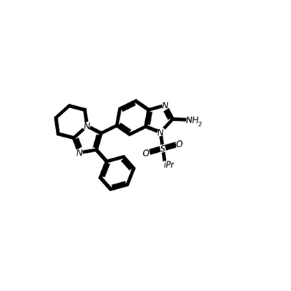 CC(C)S(=O)(=O)n1c(N)nc2ccc(-c3c(-c4ccccc4)nc4n3CCCC4)cc21